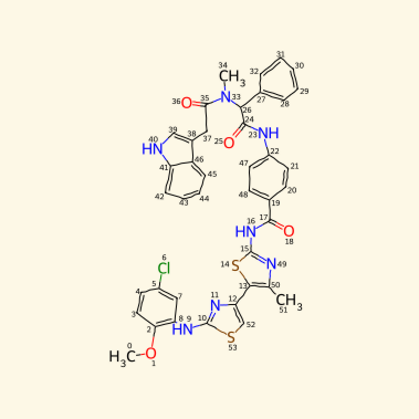 COc1ccc(Cl)cc1Nc1nc(-c2sc(NC(=O)c3ccc(NC(=O)C(c4ccccc4)N(C)C(=O)Cc4c[nH]c5ccccc45)cc3)nc2C)cs1